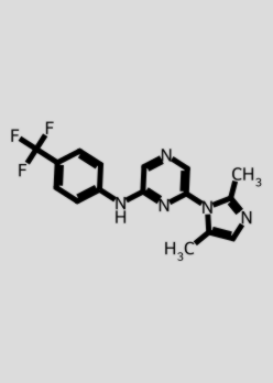 Cc1cnc(C)n1-c1cncc(Nc2ccc(C(F)(F)F)cc2)n1